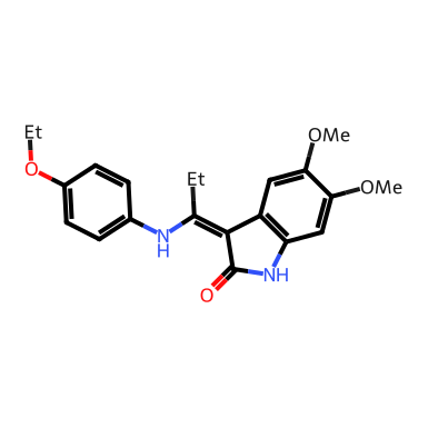 CCOc1ccc(N/C(CC)=C2\C(=O)Nc3cc(OC)c(OC)cc32)cc1